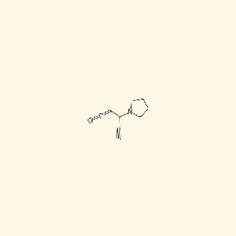 [C]#CC(C=C=O)N1CCCC1